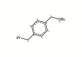 CC(C)COCc1ccc(CC(C)C)cc1